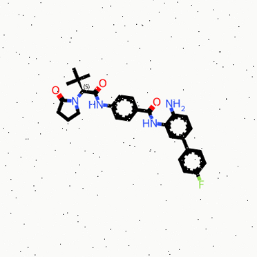 CC(C)(C)[C@@H](C(=O)Nc1ccc(C(=O)Nc2cc(-c3ccc(F)cc3)ccc2N)cc1)N1CCCC1=O